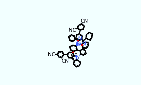 N#Cc1ccc(-c2ccc3c(c2)c2ccccc2n3-c2cccc(-c3nc(-c4ccccc4)nc(-c4ccccc4)n3)c2-c2c(-n3c4ccccc4c4cc(-c5ccc(C#N)cc5C#N)ccc43)cccc2C(F)(F)F)c(C#N)c1